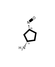 N[C@H]1CC[C@@H](N=O)C1